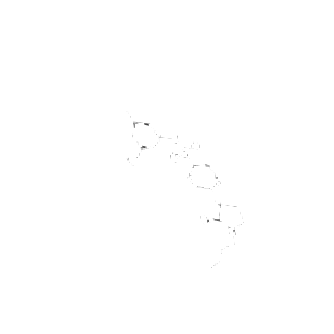 CCCCN1CCN(c2ccc(S(=O)(=O)Oc3cc(C)cc(Cl)c3)cc2)C1=O